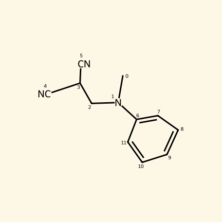 CN(CC(C#N)C#N)c1ccccc1